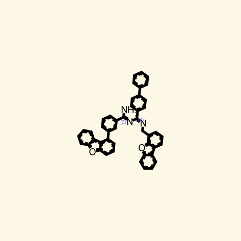 N/C(=N\C(=N/Cc1cccc2c1oc1ccccc12)c1ccc(-c2ccccc2)cc1)c1cccc(-c2cccc3oc4ccccc4c23)c1